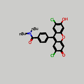 CCCCN(CCCC)C(=O)c1ccc(-c2c3cc(Cl)c(=O)cc-3oc3cc(O)c(Cl)cc23)cc1